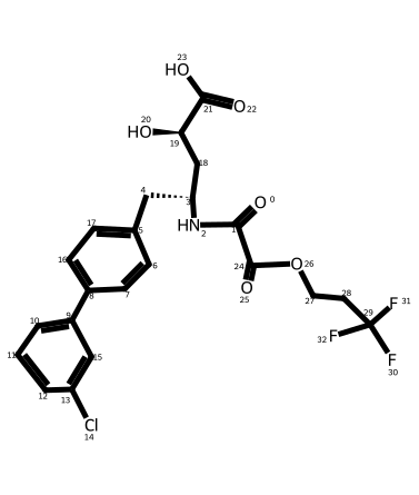 O=C(N[C@H](Cc1ccc(-c2cccc(Cl)c2)cc1)C[C@@H](O)C(=O)O)C(=O)OCCC(F)(F)F